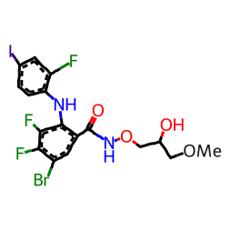 COCC(O)CONC(=O)c1cc(Br)c(F)c(F)c1Nc1ccc(I)cc1F